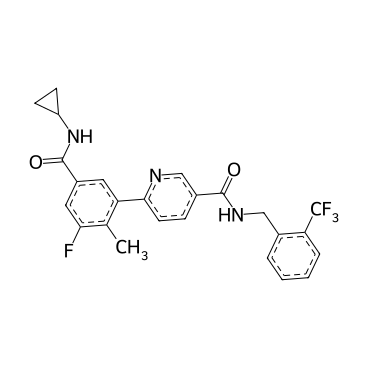 Cc1c(F)cc(C(=O)NC2CC2)cc1-c1ccc(C(=O)NCc2ccccc2C(F)(F)F)cn1